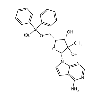 CC1(O)[C@@H](O)[C@@H](CO[Si](c2ccccc2)(c2ccccc2)C(C)(C)C)O[C@H]1n1ccc2c(N)ncnc21